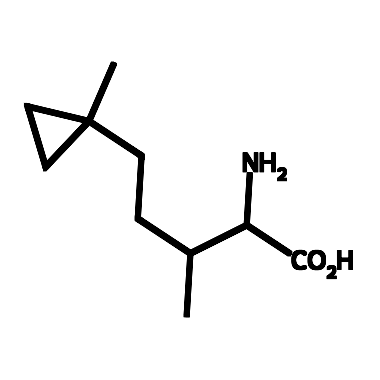 CC(CCC1(C)CC1)C(N)C(=O)O